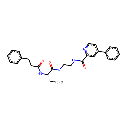 O=CC[C@H](NC(=O)CCc1ccccc1)C(=O)NCCNC(=O)c1cc(-c2ccccc2)ccn1